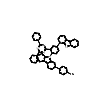 N#Cc1ccc(-c2ccc3c4ccccc4n(-c4ccc(-c5cccc6c5oc5ccccc56)cc4-c4nc(-c5ccccc5)nc(-c5ccccc5)n4)c3c2)cc1